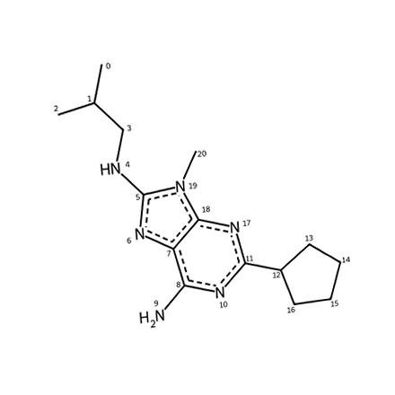 CC(C)CNc1nc2c(N)nc(C3CCCC3)nc2n1C